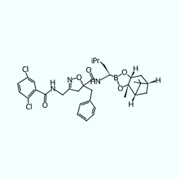 CC(C)C[C@H](NC(=O)C1(Cc2ccccc2)CC(CNC(=O)c2cc(Cl)ccc2Cl)=NO1)B1O[C@@H]2C[C@@H]3C[C@@H](C3(C)C)[C@]2(C)O1